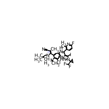 C=Nc1c(Cl)cc(N[C@H](C2=C(I)N(C3(C(F)F)CC3)NN2)c2ccc(F)nc2C)cc1/C(NCC(C)(C)C)=C(\C)C#N